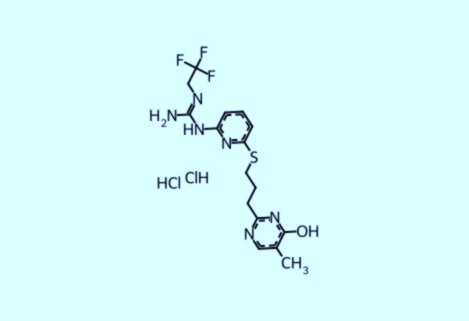 Cc1cnc(CCCSc2cccc(NC(N)=NCC(F)(F)F)n2)nc1O.Cl.Cl